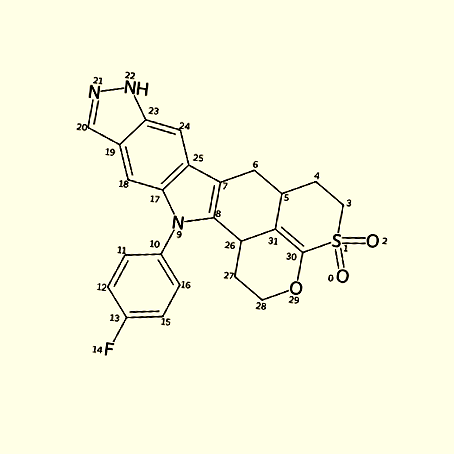 O=S1(=O)CCC2Cc3c(n(-c4ccc(F)cc4)c4cc5cn[nH]c5cc34)C3CCOC1=C23